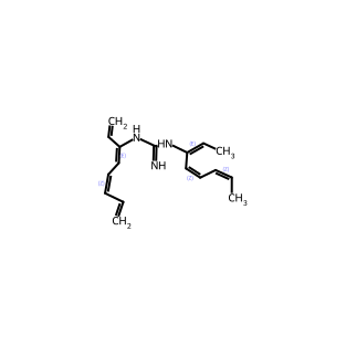 C=C/C=C\C=C(/C=C)NC(=N)NC(/C=C\C=C/C)=C/C